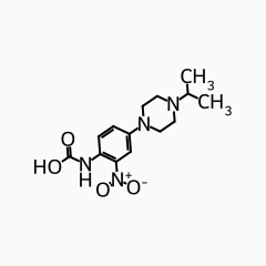 CC(C)N1CCN(c2ccc(NC(=O)O)c([N+](=O)[O-])c2)CC1